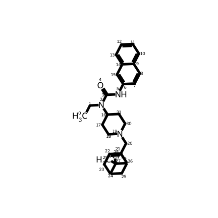 CCN(C(=O)Nc1ccc2ccccc2c1)C1CCN(CC2=CCC3CC2C3(C)C)CC1